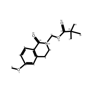 COc1ccc2c(c1)CCN(COC(=O)C(C)(C)C)C2=O